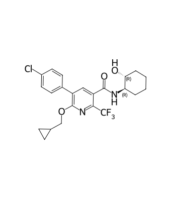 O=C(N[C@@H]1CCCC[C@H]1O)c1cc(-c2ccc(Cl)cc2)c(OCC2CC2)nc1C(F)(F)F